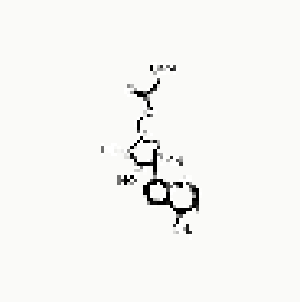 COCC(=O)OC[C@H]1O[C@@](C#N)(c2ccc3c(N)ncnn23)[C@H](O)[C@@H]1O